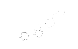 Cc1ccc(-c2ccnc(NC3CCCC(CC4OCCO4)C3)n2)cn1